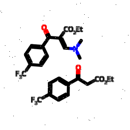 CCOC(=O)C(=CN(C)C)C(=O)c1ccc(C(F)(F)F)cc1.CCOC(=O)CC(=O)c1ccc(C(F)(F)F)cc1